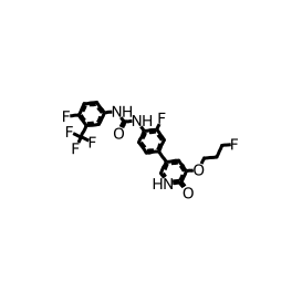 O=C(Nc1ccc(F)c(C(F)(F)F)c1)Nc1ccc(-c2c[nH]c(=O)c(OCCCF)c2)cc1F